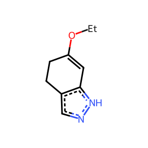 CCOC1=Cc2[nH]ncc2CC1